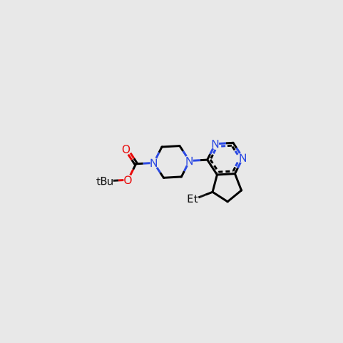 CCC1CCc2ncnc(N3CCN(C(=O)OC(C)(C)C)CC3)c21